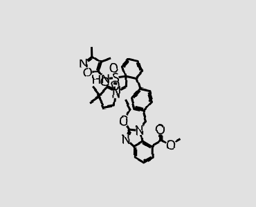 CCOc1nc2cccc(C(=O)OC)c2n1Cc1ccc(C2C=CC=CC2(CN2CCC(C)(C)C2=O)S(=O)(=O)Nc2onc(C)c2C)cc1